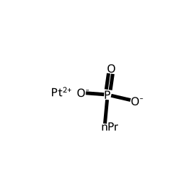 CCCP(=O)([O-])[O-].[Pt+2]